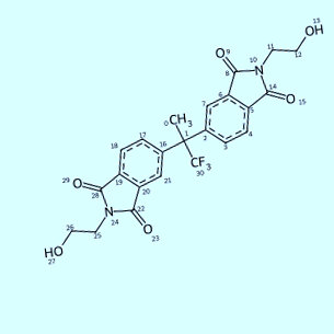 CC(c1ccc2c(c1)C(=O)N(CCO)C2=O)(c1ccc2c(c1)C(=O)N(CCO)C2=O)C(F)(F)F